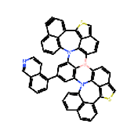 c1cc2c3scc4ccc5c(c43)n(c3cccc(c#1)c23)-c1cc(-c2cccc3cnccc23)cc2c1B5c1ccc3csc4c5cccc6cccc(c65)n-2c1c34